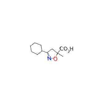 CC1(C(=O)O)CC(C2CCCCC2)=NO1